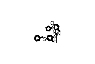 Cc1cc(SCc2ccccc2)ccc1Nc1ncc2ccc(=O)n(C3CCCC3)c2n1